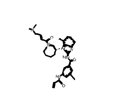 C=CC(=O)Nc1cc(C)cc(C(=O)Nc2nc3cccc(C)c3n2[C@@H]2CCCCN(C(=O)/C=C/CN(C)C)C2)c1